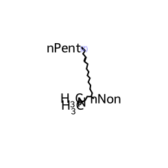 CCCCC/C=C\CC=CCCCCCCCCCC(CCCCCCCCC)CCN(C)C